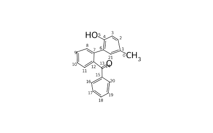 Cc1ccc(O)c(-c2ccccc2C(=O)c2ccccc2)c1